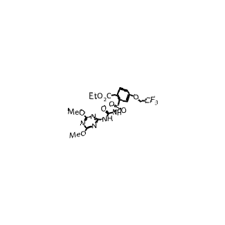 CCOC(=O)c1ccc(OCC(F)(F)F)cc1S(=O)(=O)NC(=O)Nc1nc(OC)nc(OC)n1